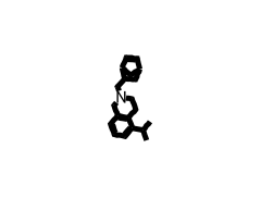 CC(C)c1cccc2c1CCN(CC1CC3C=CC1C3)C2